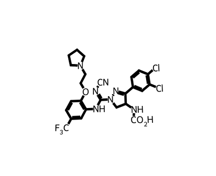 N#C/N=C(/Nc1cc(C(F)(F)F)ccc1OCCN1CCCC1)N1CC(NC(=O)O)C(c2ccc(Cl)c(Cl)c2)=N1